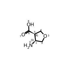 N[C@@H]1COC[C@@H]1C(=O)O